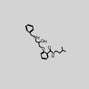 CC(C)CCNC(=O)c1ccccc1OCC(O)CNCc1ccccc1